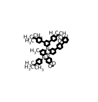 Cc1cc2c3c(c1)N(c1ccc(C(C)(C)C)cc1)c1cc4c(cc1B3c1ccc(-c3ccc5c(c3)oc3ccccc35)cc1N2c1cc(-c2ccc(C(C)(C)C)cc2)cc(-c2ccc(C(C)(C)C)cc2)c1)OCO4